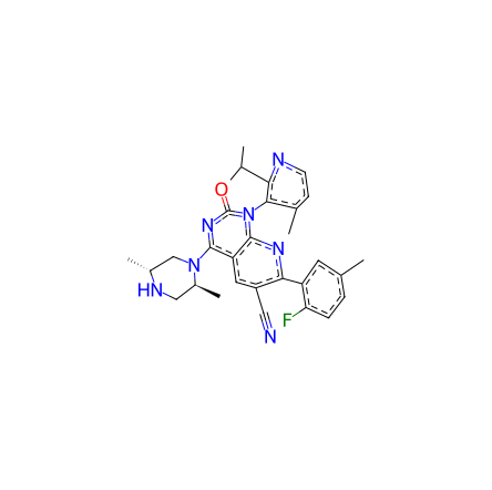 Cc1ccc(F)c(-c2nc3c(cc2C#N)c(N2C[C@@H](C)NC[C@@H]2C)nc(=O)n3-c2c(C)ccnc2C(C)C)c1